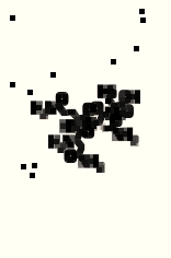 NC(=O)CC[C@H](NC(=O)[C@@H](N)CC(N)=O)C(=O)N[C@@H](CC(N)=O)C(=O)N[C@@H](CS)C(=O)O